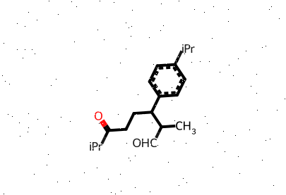 CC(C)C(=O)CCC(c1ccc(C(C)C)cc1)C(C)C=O